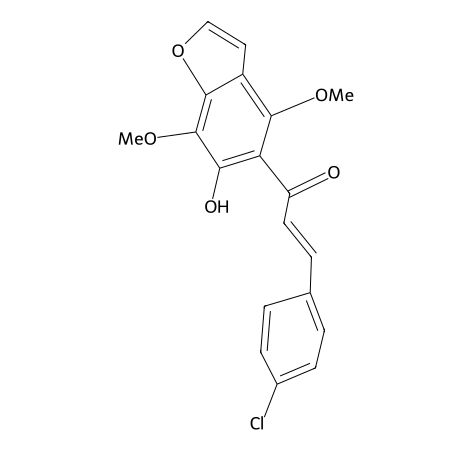 COc1c(C(=O)C=Cc2ccc(Cl)cc2)c(O)c(OC)c2occc12